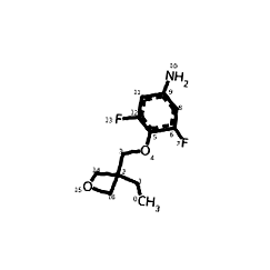 CCC1(COc2c(F)cc(N)cc2F)COC1